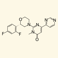 Cn1c(N2CCO[C@@H](c3ccc(F)cc3F)C2)nc(-c2ccncn2)cc1=O